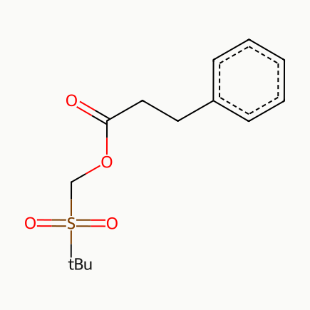 CC(C)(C)S(=O)(=O)COC(=O)CCc1ccccc1